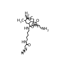 CCC(C)(CC(CC(C)C(N)=O)C(=O)NCCCCCNC(=O)CN=[N+]=[N-])C(=O)NCCN